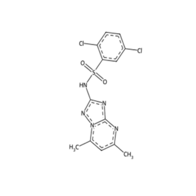 Cc1cc(C)n2nc(NS(=O)(=O)c3cc(Cl)ccc3Cl)nc2n1